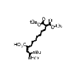 CCCCCCC(CCCC)CC(CCCCCCCC(C(=O)OC(C)(C)C)C(=O)OC(C)(C)C)C(=O)O